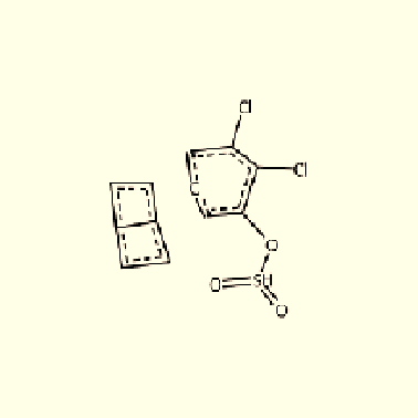 O=[SH](=O)Oc1cccc(Cl)c1Cl.c1cc2ccc1-2